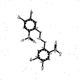 O=[N+]([O-])c1cc(Cl)c(Br)cc1COCc1cc(Br)c(Cl)cc1[N+](=O)[O-]